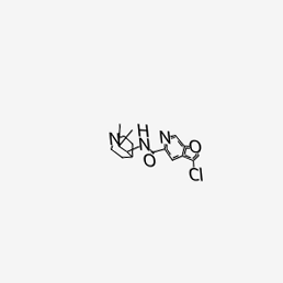 CC1(C)C(NC(=O)c2cc3c(Cl)coc3cn2)C2CCN1CC2